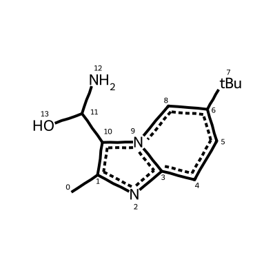 Cc1nc2ccc(C(C)(C)C)cn2c1C(N)O